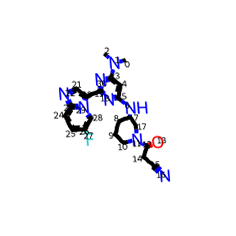 CN(C)c1cc(NC2CCCN(C(=O)CC#N)C2)nc(-c2cnc3ccc(F)cn23)n1